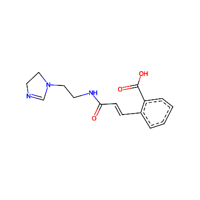 O=C(/C=C/c1ccccc1C(=O)O)NCCN1C=NCC1